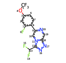 Fc1cc(OC(F)(F)F)ccc1-c1cn2c(C(F)F)nnc2cn1